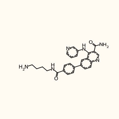 NCCCCNC(=O)c1ccc(-c2ccc3ncc(C(N)=O)c(Nc4cccnc4)c3c2)cc1